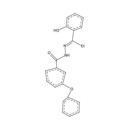 CC/C(=N\NC(=O)c1cccc(Oc2ccccc2)c1)c1ccccc1O